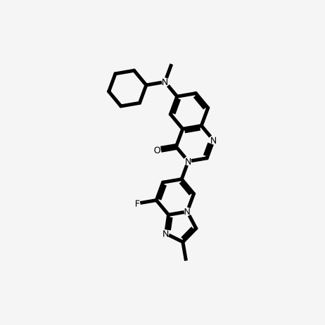 Cc1cn2cc(-n3cnc4ccc(N(C)C5CCCCC5)cc4c3=O)cc(F)c2n1